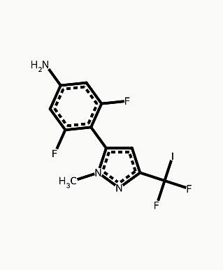 Cn1nc(C(F)(F)I)cc1-c1c(F)cc(N)cc1F